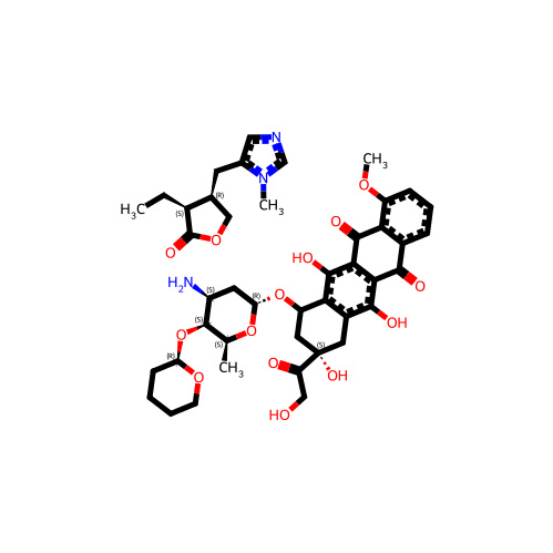 CC[C@@H]1C(=O)OC[C@@H]1Cc1cncn1C.COc1cccc2c1C(=O)c1c(O)c3c(c(O)c1C2=O)C[C@@](O)(C(=O)CO)CC3O[C@H]1C[C@H](N)[C@H](O[C@@H]2CCCCO2)[C@H](C)O1